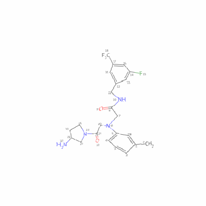 Cc1cccc(N(CC(=O)NCc2cc(F)cc(C(F)(F)F)c2)CC(=O)N2CCC(N)C2)c1